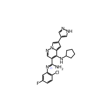 N/C(=N\c1cc(F)ccc1Cl)c1cnn2cc(-c3cn[nH]c3)cc2c1NC1CCCC1